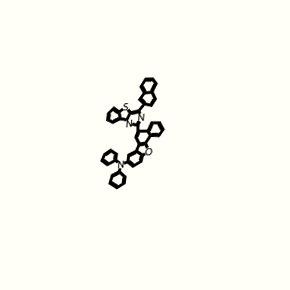 c1ccc(N(c2ccccc2)c2ccc3oc4c5ccccc5c(-c5nc(-c6ccc7ccccc7c6)c6sc7ccccc7c6n5)cc4c3c2)cc1